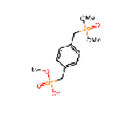 CCOP(=O)(O)Cc1ccc(CP(=O)(OC)OC)cc1